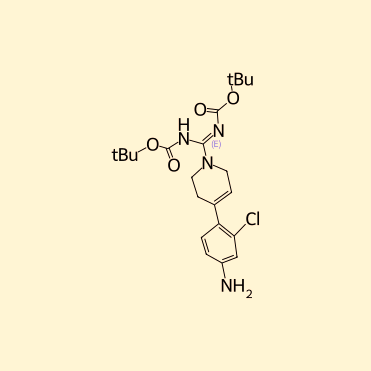 CC(C)(C)OC(=O)/N=C(\NC(=O)OC(C)(C)C)N1CC=C(c2ccc(N)cc2Cl)CC1